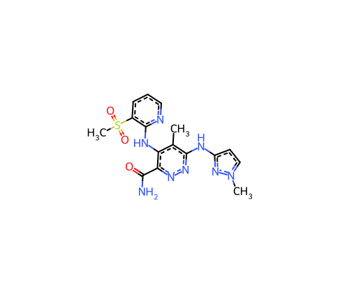 Cc1c(Nc2ccn(C)n2)nnc(C(N)=O)c1Nc1ncccc1S(C)(=O)=O